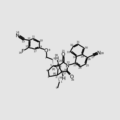 CC[C@]12CC[C@](CCOc3ccc(C#N)c(F)c3)(O1)[C@@H]1C(=O)N(c3ccc(C#N)c4ccccc34)C(=O)[C@@H]12